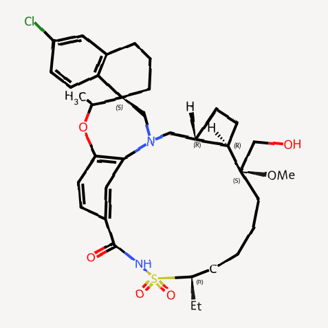 CC[C@@H]1CCCC[C@](CO)(OC)[C@@H]2CC[C@H]2CN2C[C@@]3(CCCc4cc(Cl)ccc43)C(C)Oc3ccc(cc32)C(=O)NS1(=O)=O